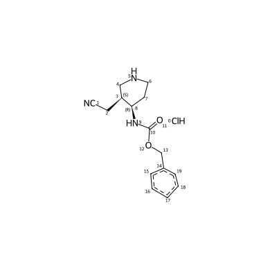 Cl.N#CC[C@H]1CNCC[C@H]1NC(=O)OCc1ccccc1